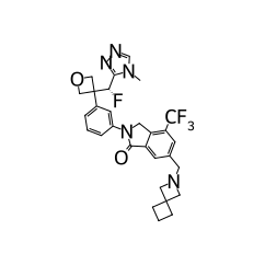 Cn1cnnc1[C@H](F)C1(c2cccc(N3Cc4c(cc(CN5CC6(CCC6)C5)cc4C(F)(F)F)C3=O)c2)COC1